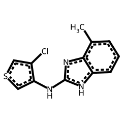 Cc1cccc2[nH]c(Nc3cscc3Cl)nc12